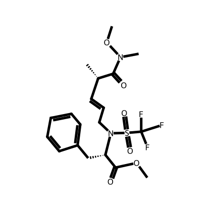 COC(=O)[C@H](Cc1ccccc1)N(C/C=C/[C@H](C)C(=O)N(C)OC)S(=O)(=O)C(F)(F)F